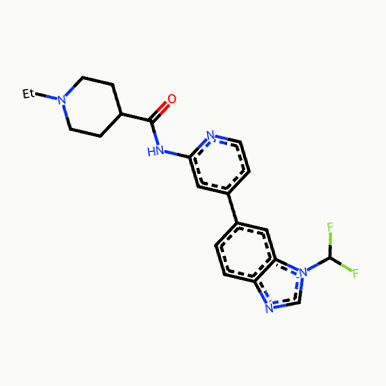 CCN1CCC(C(=O)Nc2cc(-c3ccc4ncn(C(F)F)c4c3)ccn2)CC1